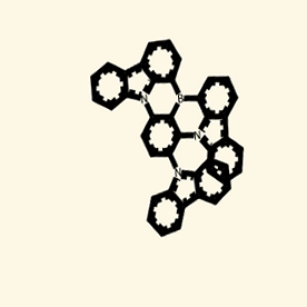 c1ccc2c(c1)c1ccccc1n2-c1ccc2c3c1-n1c4ccccc4c4cccc(c41)B3c1cccc3c4ccccc4n-2c13